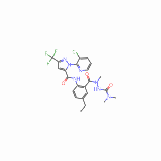 CCc1ccc(NC(=O)c2cc(C(F)(F)F)nn2-c2ncccc2Cl)c(C(=O)N(C)NC(=O)N(C)C)c1